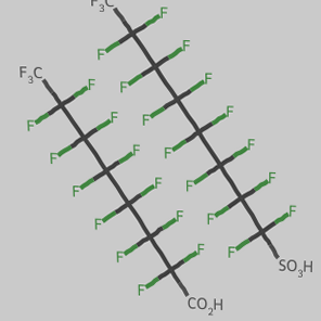 O=C(O)C(F)(F)C(F)(F)C(F)(F)C(F)(F)C(F)(F)C(F)(F)C(F)(F)F.O=S(=O)(O)C(F)(F)C(F)(F)C(F)(F)C(F)(F)C(F)(F)C(F)(F)C(F)(F)C(F)(F)F